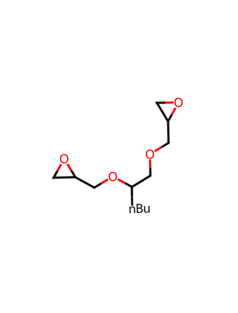 CCCCC(COCC1CO1)OCC1CO1